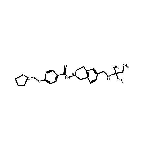 CCC(C)(C)NCc1ccc2c(c1)CC[C@H](NC(=O)c1ccc(OC[C@@H]3CCCO3)cc1)C2